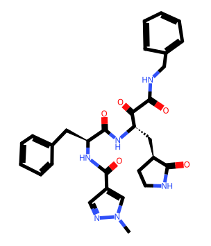 Cn1cc(C(=O)N[C@@H](Cc2ccccc2)C(=O)N[C@@H](C[C@@H]2CCNC2=O)C(=O)C(=O)NCc2ccccc2)cn1